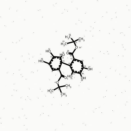 CC(C)(C)OC(=O)c1cc(O)c(O)c(O)c1-c1c(C(=O)OC(C)(C)C)cc(O)c(O)c1O